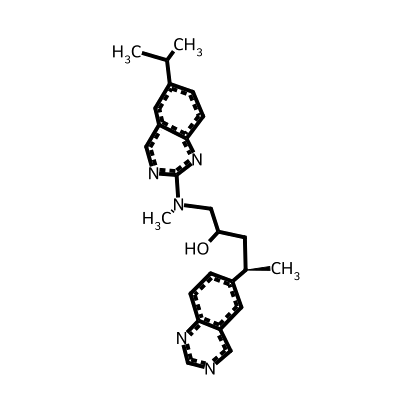 CC(C)c1ccc2nc(N(C)CC(O)C[C@@H](C)c3ccc4ncncc4c3)ncc2c1